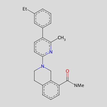 CCc1cccc(-c2ccc(N3CCc4cccc(C(=O)NC)c4C3)nc2C)c1